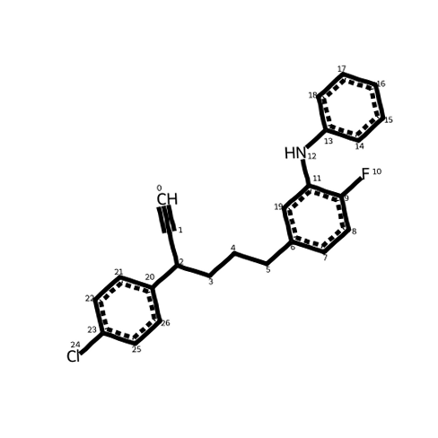 C#CC(CCCc1ccc(F)c(Nc2ccccc2)c1)c1ccc(Cl)cc1